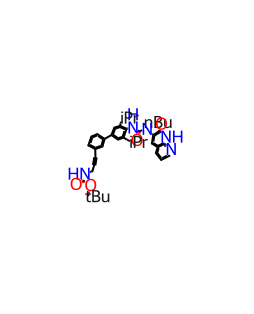 CCCCN(C(=O)Nc1c(C(C)C)cc(-c2cccc(C#CCNC(=O)OC(C)(C)C)c2)cc1C(C)C)c1cc2cccnc2[nH]c1=O